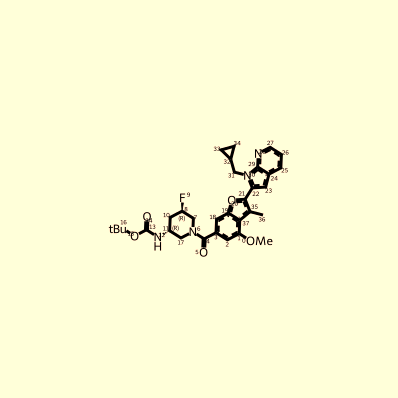 COc1cc(C(=O)N2C[C@H](F)C[C@@H](NC(=O)OC(C)(C)C)C2)cc2oc(-c3cc4cccnc4n3CC3CC3)c(C)c12